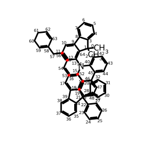 CC1(C)c2ccccc2-c2cccc(N(c3ccc4c(c3)C(c3ccccc3)(c3ccccc3)c3ccccc3-4)c3ccccc3-c3ccccc3C/C=C\C=C/CC3=CCCC=C3)c21